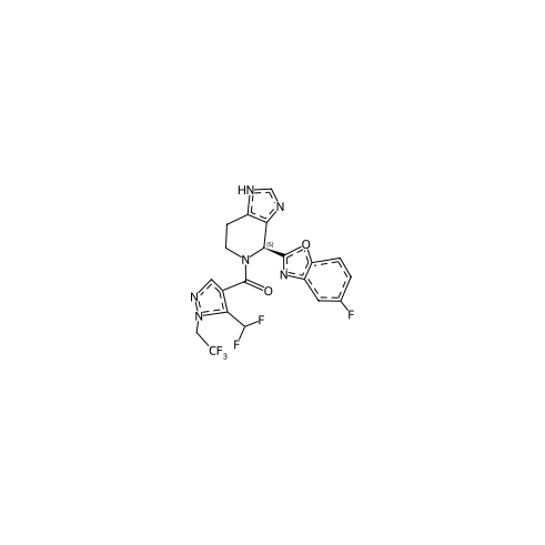 O=C(c1cnn(CC(F)(F)F)c1C(F)F)N1CCc2[nH]cnc2[C@H]1c1nc2cc(F)ccc2o1